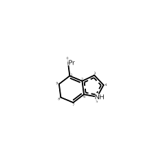 CC(C)C1=c2cc[nH]c2=CCC1